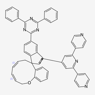 C1=C\COc2ccccc2C2(C\C=C/1)c1ccc(-c3cc(-c4ccncc4)nc(-c4ccncc4)c3)cc1-c1cc(-c3nc(-c4ccccc4)nc(-c4ccccc4)n3)ccc12